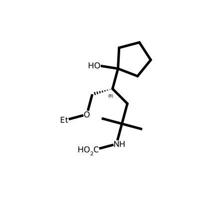 CCOC[C@@H](CC(C)(C)NC(=O)O)C1(O)CCCC1